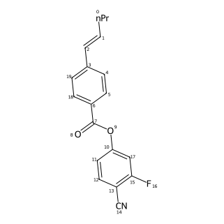 CCCC=Cc1ccc(C(=O)Oc2ccc(C#N)c(F)c2)cc1